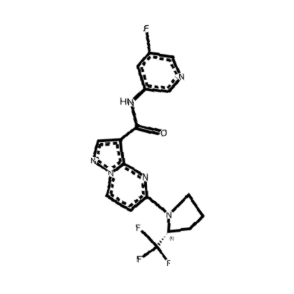 O=C(Nc1cncc(F)c1)c1cnn2ccc(N3CCC[C@@H]3C(F)(F)F)nc12